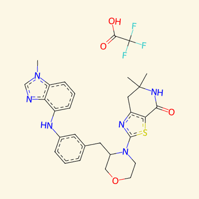 Cn1cnc2c(Nc3cccc(CC4COCCN4c4nc5c(s4)C(=O)NC(C)(C)C5)c3)cccc21.O=C(O)C(F)(F)F